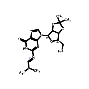 CN(C)/C=N/c1nc2c(ncn2[C@@H]2O[C@H](CO)C3OC(C)(C)OC32)c(=O)[nH]1